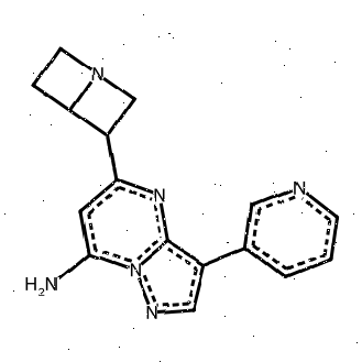 Nc1cc(C2CN3CCC23)nc2c(-c3cccnc3)cnn12